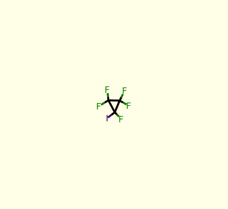 FC1(F)C(F)(F)C1(F)I